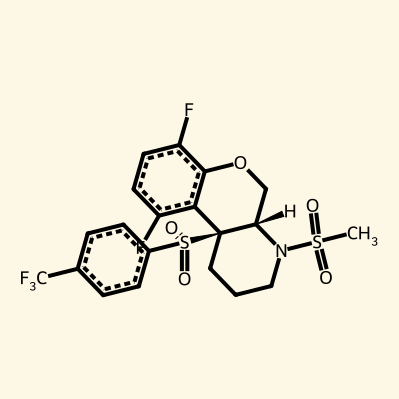 CS(=O)(=O)N1CCC[C@]2(S(=O)(=O)c3ccc(C(F)(F)F)cc3)c3c(F)ccc(F)c3OC[C@H]12